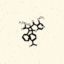 COC(=O)C1C(c2ccccc2)C2(c3ccc(C(F)F)cc3)Oc3cncc(OC)c3C(=O)C12O